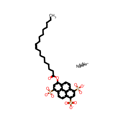 CCCCCCCC/C=C\CCCCCCCC(=O)Oc1cc(S(=O)(=O)[O-])c2ccc3c(S(=O)(=O)[O-])cc(S(=O)(=O)[O-])c4ccc1c2c43.[Na+].[Na+].[Na+]